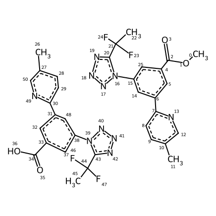 COC(=O)c1cc(-c2ccc(C)cn2)cc(-n2nnnc2C(C)(F)F)c1.Cc1ccc(-c2cc(C(=O)O)cc(-n3nnnc3C(C)(F)F)c2)nc1